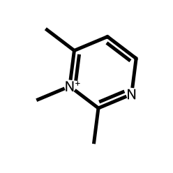 Cc1ccnc(C)[n+]1C